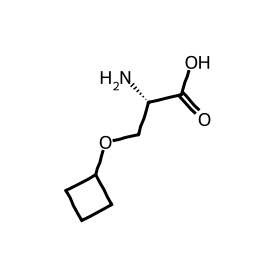 N[C@@H](COC1CCC1)C(=O)O